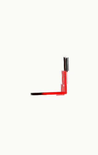 O.O.O.O.O.O.O.O.O.O.O.O.O.O.O.O.O.O.O.O.O.O.O.O.O.O.O.O.O.O.[Na+].[Na+].[Na+].[Na+].[Na+].[Na+].[Na+].[Na+].[Na+].[Na+].[Na+].[Na+].[Na+].[Na+].[Na+].[Na+].[Na+].[Na+].[Na+].[Na+].[Na+].[Na+].[Na+].[Na+].[Na+].[Na+].[Na+].[Na+].[Na+].[Na+].[Na+].[Na+].[Na+].[Na+].[Na+].[Na+].[Na+].[Na+].[Na+].[Na+].[Na+].[Na+].[Na+].[Na+].[Na+].[Na+].[Na+].[Na+].[Na+].[Na+].[OH-].[OH-].[OH-].[OH-].[OH-].[OH-].[OH-].[OH-].[OH-].[OH-].[OH-].[OH-].[OH-].[OH-].[OH-].[OH-].[OH-].[OH-].[OH-].[OH-].[OH-].[OH-].[OH-].[OH-].[OH-].[OH-].[OH-].[OH-].[OH-].[OH-].[OH-].[OH-].[OH-].[OH-].[OH-].[OH-].[OH-].[OH-].[OH-].[OH-].[OH-].[OH-].[OH-].[OH-].[OH-].[OH-].[OH-].[OH-].[OH-].[OH-]